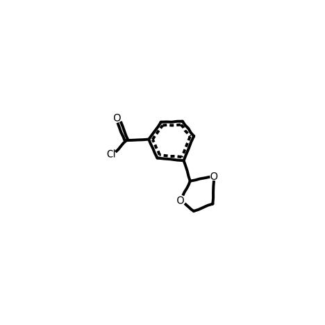 O=C(Cl)c1cccc(C2OCCO2)c1